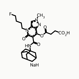 Cn1cc2c(n1)c(OC(=O)CCC(=O)O)c(C(=O)NC13CC4CC(CC(C4)C1)C3)c(=O)n2CCCCF.[NaH]